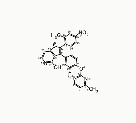 Cc1ccnc(Oc2ccc(-c3c(-c4ccc([N+](=O)[O-])cc4C)sc4ccnc(O)c34)cc2F)n1